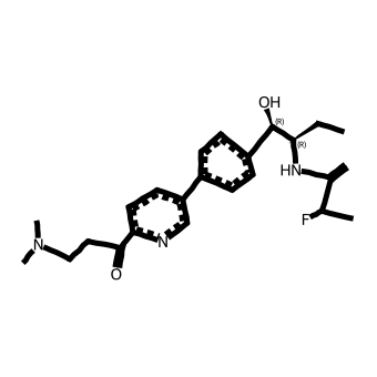 C=C(N[C@H](CC)[C@H](O)c1ccc(-c2ccc(C(=O)CCN(C)C)nc2)cc1)C(C)F